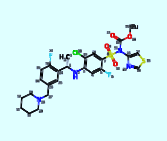 C[C@H](Nc1cc(F)c(S(=O)(=O)N(C(=O)OC(C)(C)C)c2cscn2)cc1Cl)c1cc(CN2CCCCC2)ccc1F